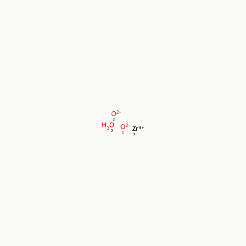 O.[O-2].[O-2].[Zr+4]